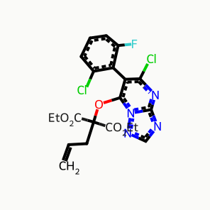 C=CCC(Oc1c(-c2c(F)cccc2Cl)c(Cl)nc2ncnn12)(C(=O)OCC)C(=O)OCC